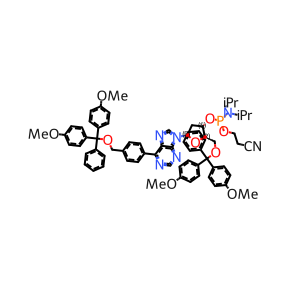 COc1ccc(C(OCc2ccc(-c3ncnc4c3ncn4[C@H]3C[C@H](OP(OCCC#N)N(C(C)C)C(C)C)[C@@H](COC(c4ccccc4)(c4ccc(OC)cc4)c4ccc(OC)cc4)O3)cc2)(c2ccccc2)c2ccc(OC)cc2)cc1